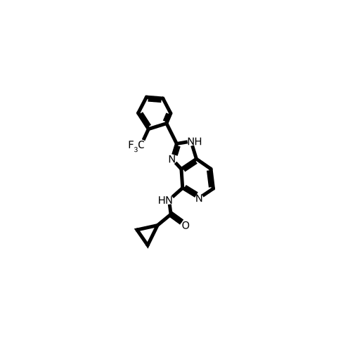 O=C(Nc1nccc2[nH]c(-c3ccccc3C(F)(F)F)nc12)C1CC1